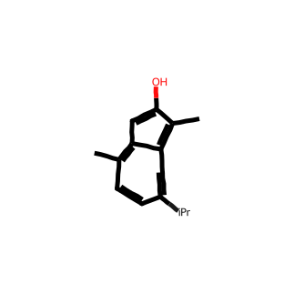 Cc1ccc(C(C)C)cc2c(C)c(O)cc1-2